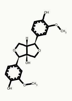 COc1cc([C@H]2OC[C@]3(O)[C@@H](c4ccc(O)c(OC)c4)OC[C@H]23)ccc1O